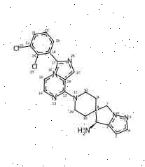 N[C@@H]1c2ccnn2CC12CCN(c1nccn3c(-c4cccc(Cl)c4Cl)ncc13)CC2